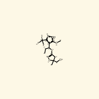 CCC(SC1=NOC(C)(CCl)C1)c1c(C(F)(F)F)n[nH]c1OC